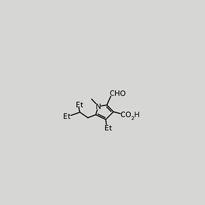 CCc1c(C(=O)O)c(C=O)n(C)c1CC(CC)CC